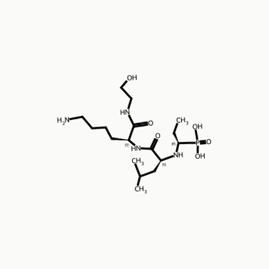 CC[C@H](N[C@@H](CC(C)C)C(=O)N[C@@H](CCCCN)C(=O)NCCO)P(=O)(O)O